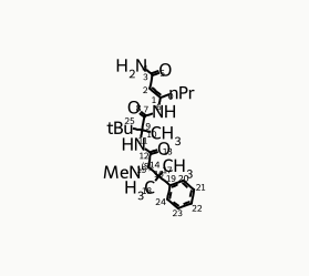 CCCC(=CC(N)=O)NC(=O)C(C)(NC(=O)[C@@H](NC)C(C)(C)c1ccccc1)C(C)(C)C